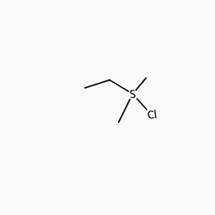 CCS(C)(C)Cl